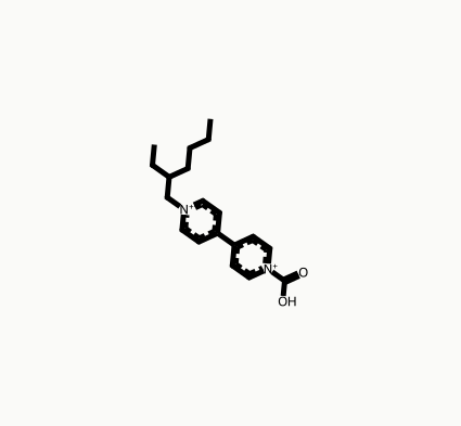 CCCCC(CC)C[n+]1ccc(-c2cc[n+](C(=O)O)cc2)cc1